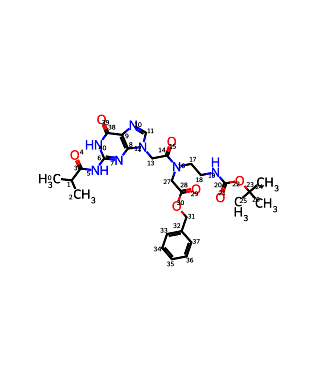 CC(C)C(=O)Nc1nc2c(ncn2CC(=O)N(CCNC(=O)OC(C)(C)C)CC(=O)OCc2ccccc2)c(=O)[nH]1